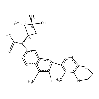 Cc1c(-c2cc3cc(N(C(=O)O)[C@@H]4C[C@@](C)(O)[C@H]4C)ncc3c(N)c2F)cnc2c1NCCO2